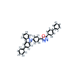 c1ccc(-c2ccc(-c3nnc(-c4ccc(-n5c6ccccc6c6cc(-c7ccccc7)ccc65)cc4)o3)cc2)cc1